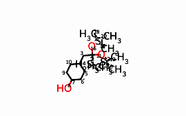 C[SiH2]C(CC1C[CH]C(O)CC1)(O[Si](C)(C)C)O[Si](C)(C)C